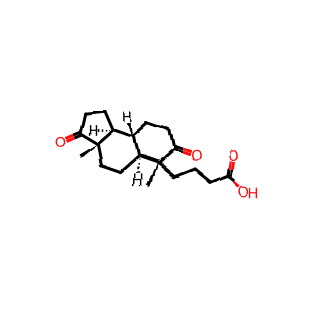 C[C@]1(CCCC(=O)O)C(=O)CC[C@@H]2[C@@H]1CC[C@]1(C)C(=O)CC[C@@H]21